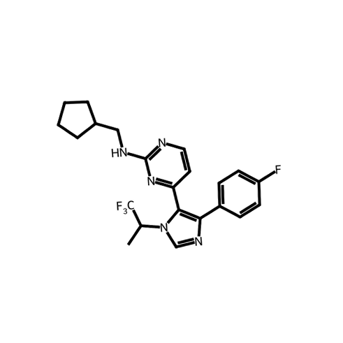 CC(n1cnc(-c2ccc(F)cc2)c1-c1ccnc(NCC2CCCC2)n1)C(F)(F)F